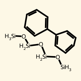 [SiH3]O[SiH2]O[SiH2]O[SiH3].c1ccc(-c2ccccc2)cc1